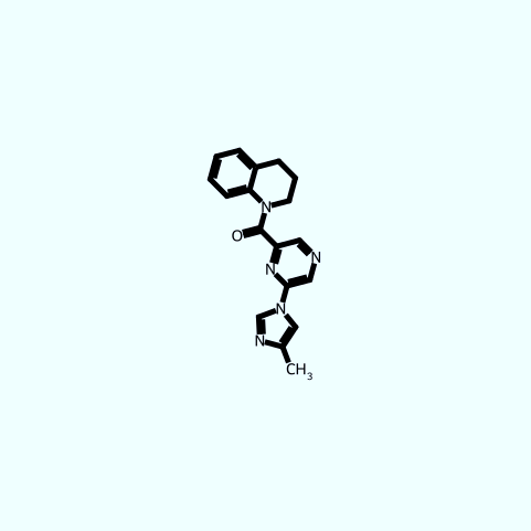 Cc1cn(-c2cncc(C(=O)N3CCCc4ccccc43)n2)cn1